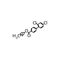 CN1CC(OC(=O)c2ccc(-c3ccc(Cl)cc3Cl)cc2)C1